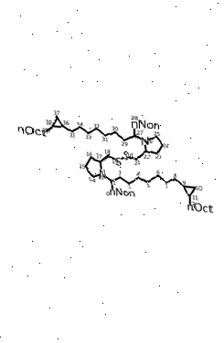 CCCCCCCCCC(CCCCCCCC1CC1CCCCCCCC)N1CCCC1CSSCC1CCCN1C(CCCCCCCCC)CCCCCCCC1CC1CCCCCCCC